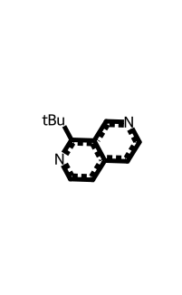 CC(C)(C)c1nccc2ccncc12